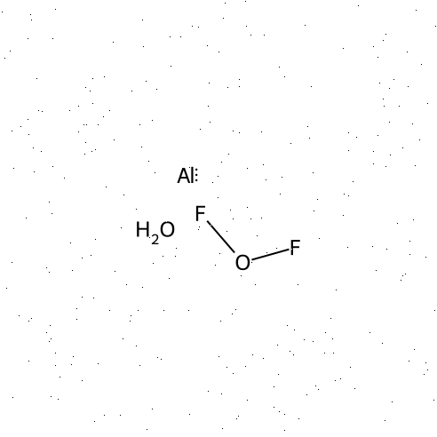 FOF.O.[Al]